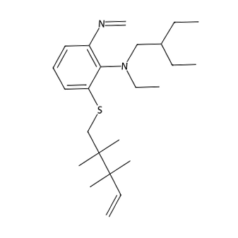 C=CC(C)(C)C(C)(C)CSc1cccc(N=C)c1N(CC)CC(CC)CC